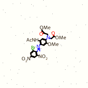 COC(=O)CN(CC1OC1OC)c1cc(NC(C)=O)c(/N=N/c2c(Br)cc([N+](=O)[O-])cc2[N+](=O)[O-])cc1OC